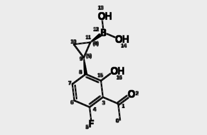 CC(=O)c1c(F)ccc([C@H]2C[C@H]2B(O)O)c1O